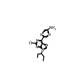 CCC(CC)n1cnc2c(-c3cnc(N)cn3)nc(Cl)nc21